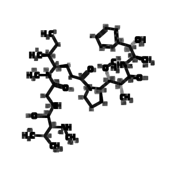 CC[C@H](C)[C@@H](CCC(=O)N1CCC[C@@H]1[C@H](OC)[C@@H](C)C(=O)N[C@H](C)[C@@H](O)c1ccccc1)N(C)C(=O)CNC(=O)C(NC)C(C)C